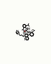 COc1cccc(-c2c(NC(=O)Nc3c(C(C)C)cccc3C(C)C)c(=O)n(CCCn3ccnc3)c3ncccc23)c1